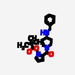 CC(C)(C)C(=O)On1cccc1C(=O)N1CCC(NCc2ccccc2)CC1